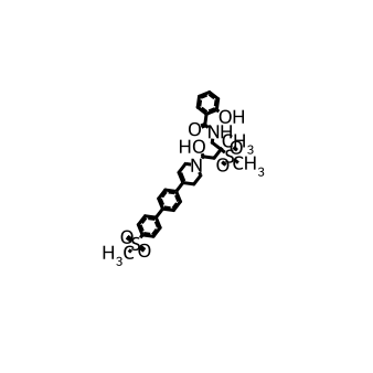 CC(CNC(=O)c1ccccc1O)(CC(O)N1CC=C(c2ccc(-c3ccc(S(C)(=O)=O)cc3)cc2)CC1)S(C)(=O)=O